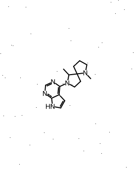 CC1N(c2ncnc3[nH]ccc23)CCC12CCCN2C